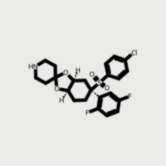 O=S(=O)(c1ccc(Cl)cc1)[C@@]1(c2cc(F)ccc2F)CC[C@H]2OC3(CCNCC3)O[C@H]2C1